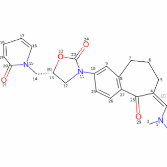 CN(C)/C=C1/CCCc2cc(N3C[C@H](Cn4ccccc4=O)OC3=O)ccc2C1=O